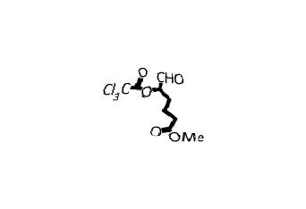 COC(=O)CCCC(C=O)OC(=O)C(Cl)(Cl)Cl